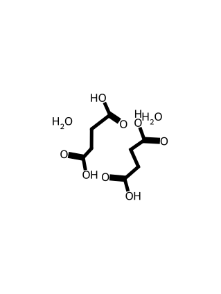 O.O.O=C(O)CCC(=O)O.O=C(O)CCC(=O)O